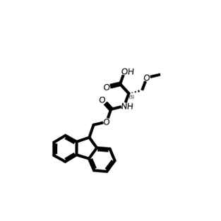 COC[C@H](NC(=O)OCC1c2ccccc2-c2ccccc21)C(=O)O